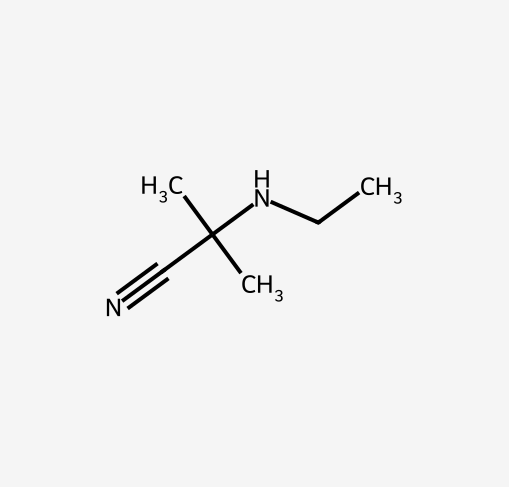 CCNC(C)(C)C#N